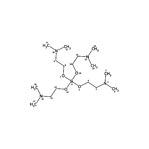 CN(C)CCO[Si](OCCN(C)C)(OCCN(C)C)OCCN(C)C